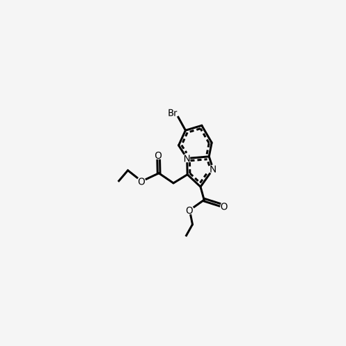 CCOC(=O)Cc1c(C(=O)OCC)nc2ccc(Br)cn12